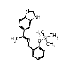 CC(=NCc1ccccc1O[Si](C)(C)C)c1ccc2nc[nH]c2c1